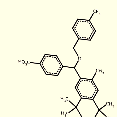 Cc1cc2c(cc1C(OCc1ccc(C(F)(F)F)cc1)c1ccc(C(=O)O)cc1)C(C)(C)CCC2(C)C